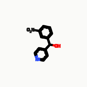 O=[N+]([O-])c1cccc(C(O)c2ccncc2)c1